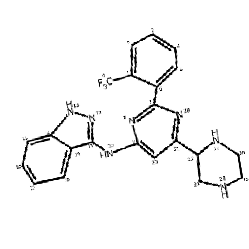 FC(F)(F)c1ccccc1-c1nc(Nc2n[nH]c3ccccc23)cc(C2CNCCN2)n1